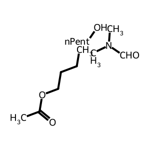 CCCCCO.CCCCOC(C)=O.CN(C)C=O